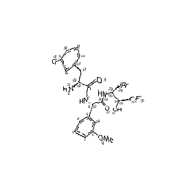 COc1cccc([C@H](NC(=O)[C@@H](N)Cc2cccc(Cl)c2)C(=O)N[C@@H](C(C)C)[C@H](O)C(F)(F)F)c1